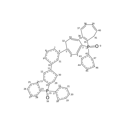 O=P(C1=CC=C(c2cccc(-c3ccc(P(=O)(c4ccccc4)c4ccccc4)cc3)c2)CC=C1)(C1=CC=CC=CC1)c1ccccc1